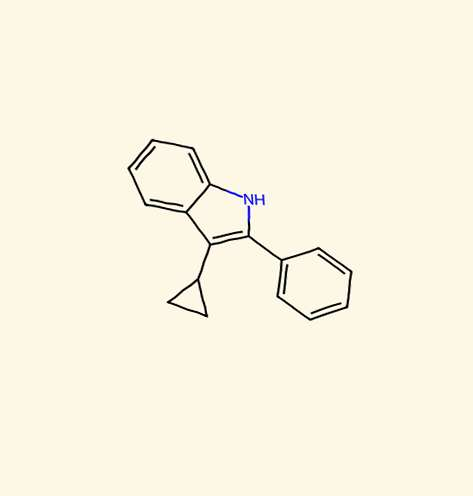 c1ccc(-c2[nH]c3ccccc3c2C2CC2)cc1